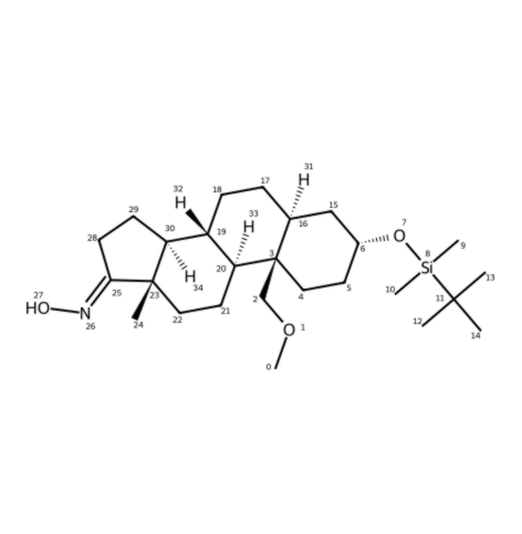 COC[C@]12CC[C@@H](O[Si](C)(C)C(C)(C)C)C[C@@H]1CC[C@@H]1[C@@H]2CC[C@]2(C)/C(=N/O)CC[C@@H]12